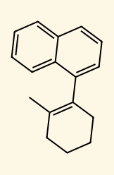 CC1=C(c2cccc3ccccc23)CCCC1